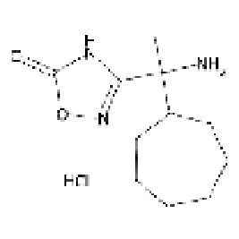 CC(N)(c1noc(=O)[nH]1)C1CCCCCC1.Cl